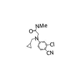 CNC(=O)CN(CC1CC1)c1ccc(C#N)c(Cl)c1